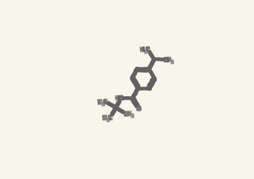 CC(C)c1ccc(C(=O)NC(C)(C)C)cc1